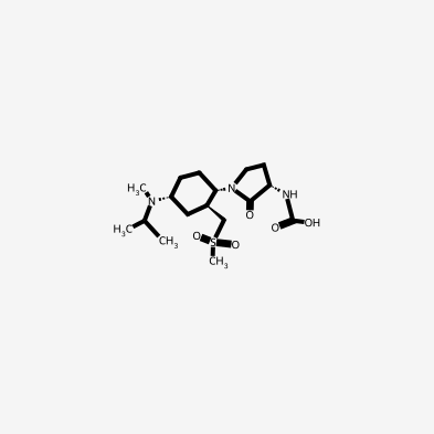 CC(C)N(C)[C@@H]1CC[C@H](N2CC[C@H](NC(=O)O)C2=O)[C@@H](CS(C)(=O)=O)C1